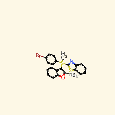 CCCCc1oc2ccccc2c1S(C)(c1ccc(Br)cc1)c1nc2ccccc2s1